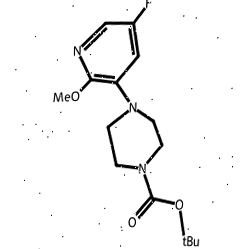 COc1ncc(F)cc1N1CCN(C(=O)OC(C)(C)C)CC1